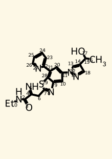 CCNC(=O)C(=N)Cc1nc2cc(-n3cc(C(C)O)cn3)cc(-c3ccccn3)c2s1